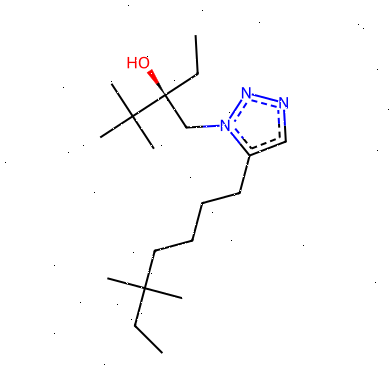 CCC(C)(C)CCCCc1cnnn1C[C@@](O)(CC)C(C)(C)C